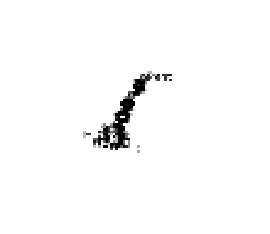 C=C(CO)C(=O)OCC(COC(=O)C(C)(C)CO)C1CCC(c2ccc(OCC3CCC(CCCCC)CC3)cc2)CC1